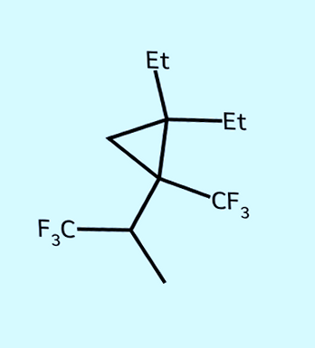 CCC1(CC)CC1(C(C)C(F)(F)F)C(F)(F)F